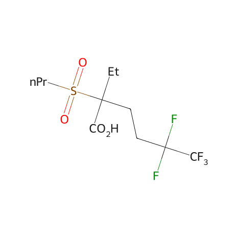 CCCS(=O)(=O)C(CC)(CCC(F)(F)C(F)(F)F)C(=O)O